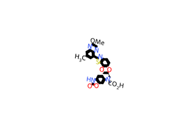 COc1cnc2c(-c3nc4ccc5c(c4s3)OC[C@@H](CN(C(=O)O)c3ccc4[nH]c(=O)oc4c3)O5)cc(C)cc2n1